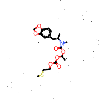 CSCCOC(=O)OC(C)OC(=O)N(C)C(C)Cc1ccc2c(c1)OCO2